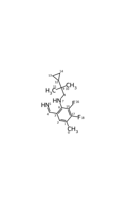 Cc1cc(C=N)c(NCC(C)(C)C2CC2)c(F)c1F